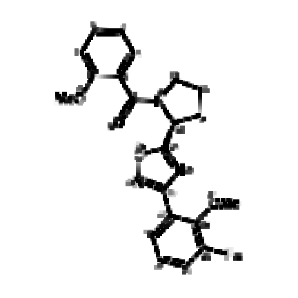 COc1ccccc1C(=O)N1CCC[C@H]1c1nc(-c2cccc(F)c2OC)no1